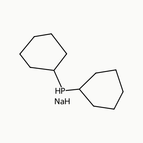 C1CCC(PC2CCCCC2)CC1.[NaH]